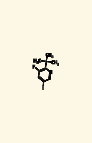 CC(C)(C)c1ncc(I)cc1F